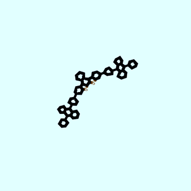 c1ccc(-c2c3ccccc3c(-c3ccc(-c4ccc5c(c4)sc4c6sc7cc(-c8ccc(-c9c%10ccccc%10c(-c%10ccccc%10)c%10ccccc9%10)cc8)ccc7c6c6ccccc6c54)cc3)c3ccccc23)cc1